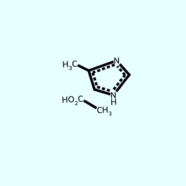 CC(=O)O.Cc1c[nH]cn1